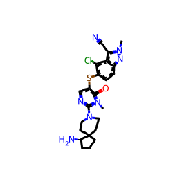 Cn1nc2ccc(Sc3cnc(N4CCC5(CCC[C@H]5N)CC4)n(C)c3=O)c(Cl)c2c1C#N